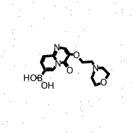 O=c1c(OCCN2CCOCC2)cnc2ccc(B(O)O)cn12